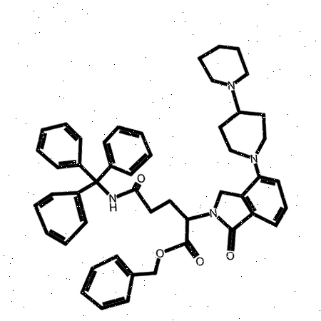 O=C(CCC(C(=O)OCc1ccccc1)N1Cc2c(cccc2N2CCC(N3CCCCC3)CC2)C1=O)NC(c1ccccc1)(c1ccccc1)c1ccccc1